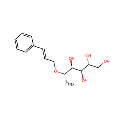 O=C[C@H](OC/C=C/c1ccccc1)[C@@H](O)[C@H](O)[C@H](O)CO